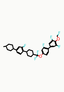 CC1CCC(c2ccc(C3CCC(C(F)(F)Oc4ccc(-c5cc(F)c(OCF)c(F)c5)c(F)c4)CC3)c(F)c2)CC1